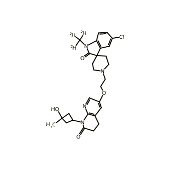 [2H]C([2H])([2H])N1C(=O)C2(CCN(CCOc3cnc4c(c3)CCC(=O)N4C3CC(C)(O)C3)CC2)c2cc(Cl)ccc21